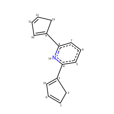 C1=CCC(c2cccc(C3=CC=CC3)n2)=C1